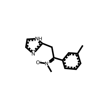 Cc1cccc(/C(Cc2ncc[nH]2)=[N+](\C)[O-])c1